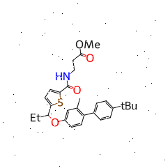 CCC(Oc1ccc(-c2ccc(C(C)(C)C)cc2)c(C)c1)c1ccc(C(=O)NCCC(=O)OC)s1